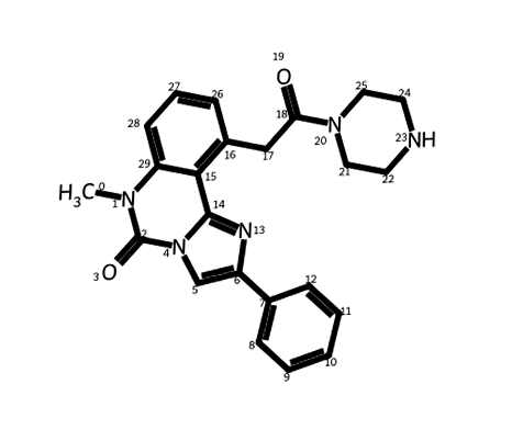 Cn1c(=O)n2cc(-c3ccccc3)nc2c2c(CC(=O)N3CCNCC3)cccc21